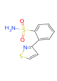 NS(=O)(=O)c1ccccc1-c1ccsn1